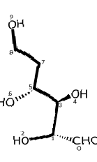 O=C[C@H](O)[C@H](O)[C@H](O)CCO